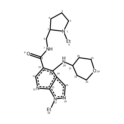 CCN1CCCC1CNC(=O)c1cnc2c(cnn2CC)c1NC1CCOCC1